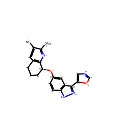 COc1nc2c(cc1C#N)CCC[C@@H]2Oc1ccc2[nH]nc(-c3cnco3)c2c1